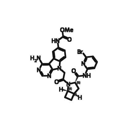 COC(=O)Nc1ccc2c(c1)c1c(N)ncnc1n2CC(=O)N1[C@@H]2CC[C@@H]2C[C@H]1C(=O)Nc1cccc(Br)n1